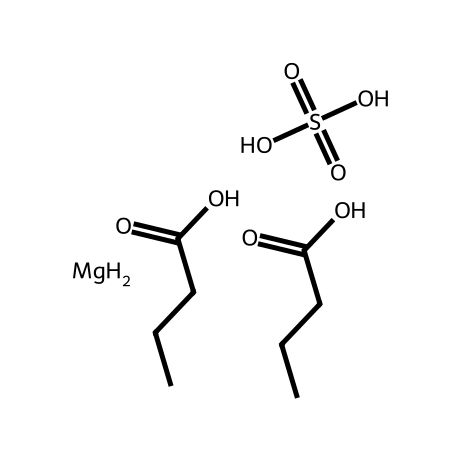 CCCC(=O)O.CCCC(=O)O.O=S(=O)(O)O.[MgH2]